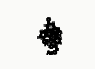 CC(=O)OCC(=O)[C@H]1CC[C@H]2[C@@H]3CCC4=CC(=O)C=C[C@]4(C)[C@H]3[C@@H](N3OCCC3O)C[C@]12C